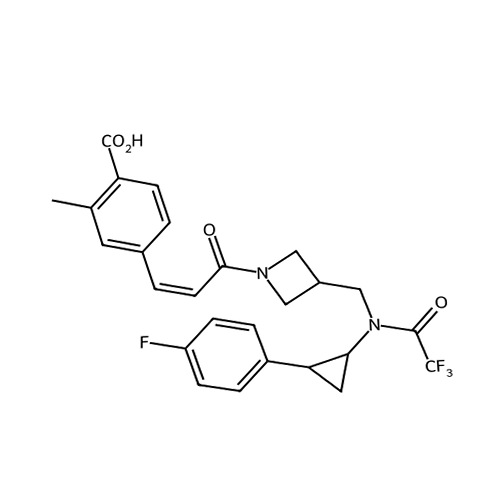 Cc1cc(C=CC(=O)N2CC(CN(C(=O)C(F)(F)F)C3CC3c3ccc(F)cc3)C2)ccc1C(=O)O